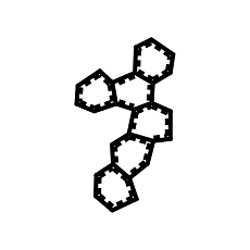 c1ccc2cc3c(ccc4c5ccccc5c5ccccc5c34)cc2c1